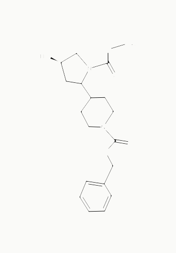 CC(C)(C)OC(=O)N1C[C@H](O)CC1C1CCN(C(=O)OCc2ccccc2)CC1